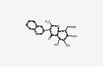 Cc1oc2c(CC(C)C)c(O)c(O)c(O)c2c(=O)c1-c1cnc2ccccc2c1